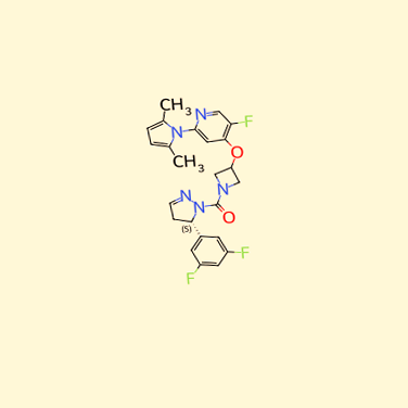 Cc1ccc(C)n1-c1cc(OC2CN(C(=O)N3N=CC[C@H]3c3cc(F)cc(F)c3)C2)c(F)cn1